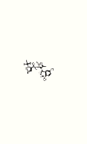 Cc1nn(C)c(OC(=O)c2cn(C)nc2C(F)(F)F)c1C(=O)c1cc(Cl)ccc1[N+](=O)[O-]